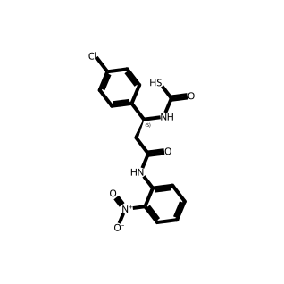 O=C(S)N[C@@H](CC(=O)Nc1ccccc1[N+](=O)[O-])c1ccc(Cl)cc1